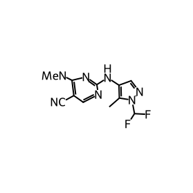 CNc1nc(Nc2cnn(C(F)F)c2C)ncc1C#N